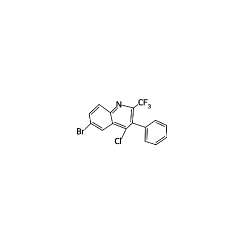 FC(F)(F)c1nc2ccc(Br)cc2c(Cl)c1-c1ccccc1